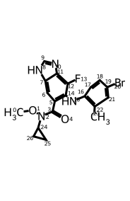 CON(C(=O)c1cc2[nH]cnc2c(F)c1Nc1ccc(Br)cc1C)C1CC1